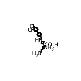 BCCCCC(N)(C(=O)O)[C@H]1C[C@@H](NCc2ccc(-c3ccc(Cl)c(Cl)c3)cc2)C1